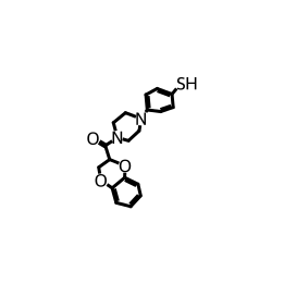 O=C(C1COc2ccccc2O1)N1CCN(c2ccc(S)cc2)CC1